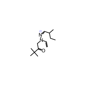 C=CN(CC(=O)C(C)(C)C)/N=C\C(C)CC